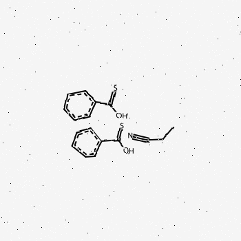 CCC#N.OC(=S)c1ccccc1.OC(=S)c1ccccc1